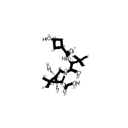 CC(C)(C)C(NC(=O)C1CC(O)C1)C(=O)N1C[C@H]2[C@@H]([C@H]1C(=O)O)C2(C)C